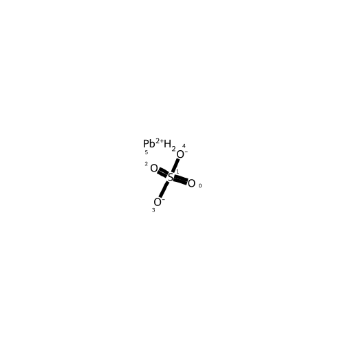 O=S(=O)([O-])[O-].[PbH2+2]